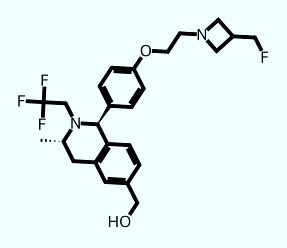 C[C@H]1Cc2cc(CO)ccc2[C@H](c2ccc(OCCN3CC(CF)C3)cc2)N1CC(F)(F)F